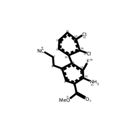 COC(=O)c1cc(CCC#N)c(-c2cccc(Cl)c2Cl)c(F)c1N